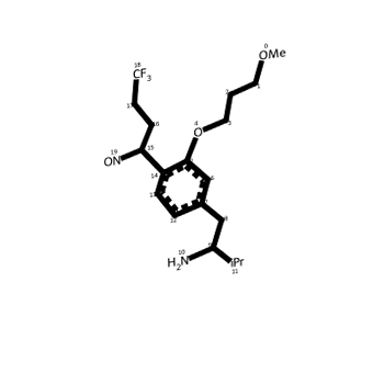 COCCCOc1cc(CC(N)C(C)C)ccc1C(CCC(F)(F)F)N=O